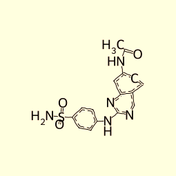 CC(=O)Nc1ccc2cnc(Nc3ccc(S(N)(=O)=O)cc3)nc2c1